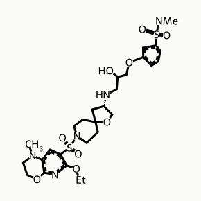 CCOc1nc2c(cc1S(=O)(=O)N1CCC3(CC1)C[C@H](NCC(O)COc1cccc(S(=O)(=O)NC)c1)CO3)N(C)CCO2